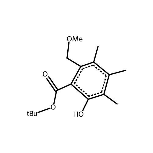 COCc1c(C)c(C)c(C)c(O)c1C(=O)OC(C)(C)C